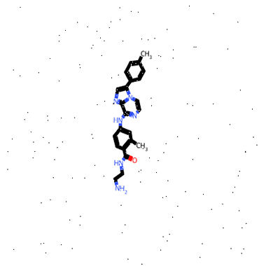 Cc1ccc(-c2cnc3c(Nc4ccc(C(=O)NCCN)c(C)c4)nccn23)cc1